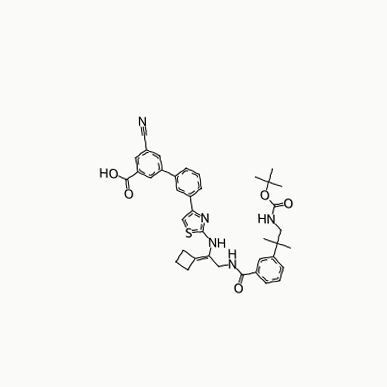 CC(C)(C)OC(=O)NCC(C)(C)c1cccc(C(=O)NCC(Nc2nc(-c3cccc(-c4cc(C#N)cc(C(=O)O)c4)c3)cs2)=C2CCC2)c1